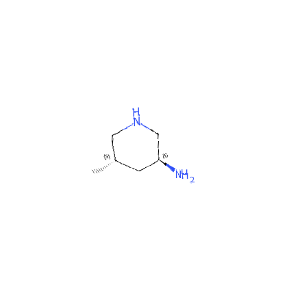 C[C@@H]1CNC[C@@H](N)C1